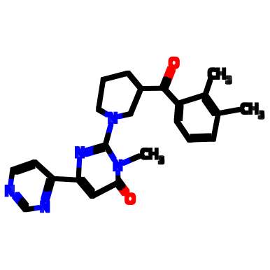 Cc1cccc(C(=O)C2CCCN(c3nc(-c4ccncn4)cc(=O)n3C)C2)c1C